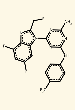 Nc1nc(Nc2ccc(C(F)(F)F)cc2)nc(-n2c(CF)nc3c(F)cc(F)cc32)n1